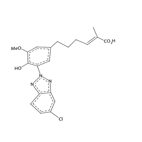 COc1cc(CCCC=C(C)C(=O)O)cc(-n2nc3ccc(Cl)cc3n2)c1O